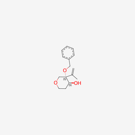 C=C(C)[C@]1(OCc2ccccc2)COCC[C@@H]1O